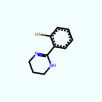 Sc1ccccc1C1=NCCCN1